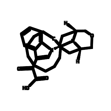 O=C(O)C(=O)c1cn([C@H]2C[C@H]3COC[C@@H](C2)N3C2CCCCCCCCC2)c2ccccc12